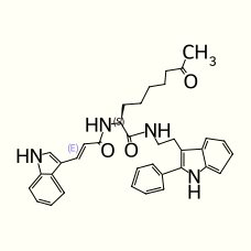 CC(=O)CCCCC[C@H](NC(=O)/C=C/c1c[nH]c2ccccc12)C(=O)NCCc1c(-c2ccccc2)[nH]c2ccccc12